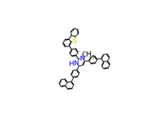 CN1C(c2ccc(-c3cccc4ccccc34)cc2)=CC(c2ccc(-c3cccc4ccccc34)cc2)NC1c1ccc(-c2cccc3c2SC2C=CC=CC32)cc1